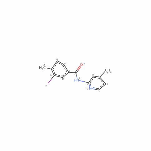 Cc1ccnc(NC(=O)c2ccc(C)c(I)c2)c1